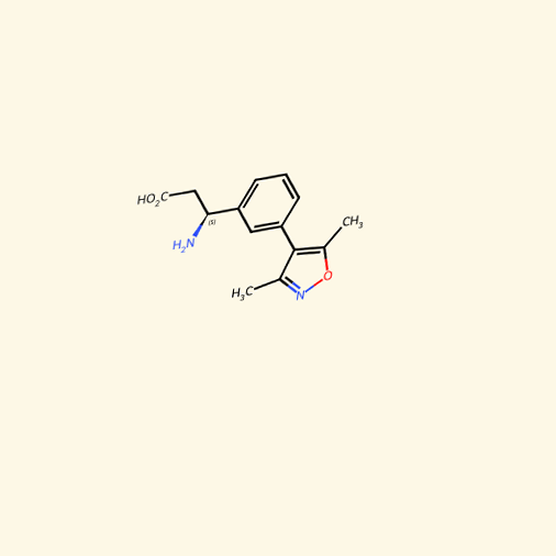 Cc1noc(C)c1-c1cccc([C@@H](N)CC(=O)O)c1